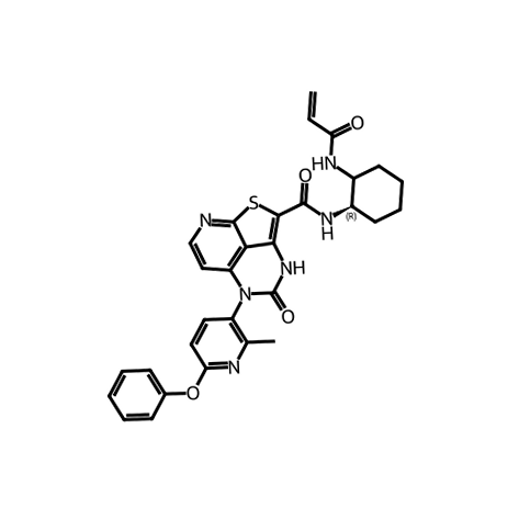 C=CC(=O)NC1CCCC[C@H]1NC(=O)c1sc2nccc3c2c1NC(=O)N3c1ccc(Oc2ccccc2)nc1C